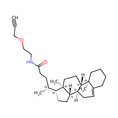 C#CCOCCNC(=O)CC[C@@H](C)[C@H]1CC[C@H]2[C@@H]3CC=C4CCCC[C@]4(C)[C@H]3CC[C@]12C